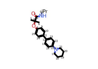 CC(C)NC(=O)C(C)(C)Oc1ccc(-c2ccc(N3CCCCC3)cc2)cc1